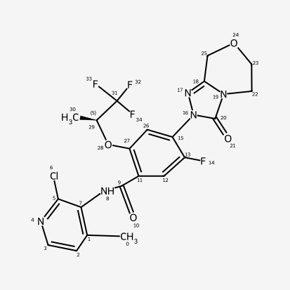 Cc1ccnc(Cl)c1NC(=O)c1cc(F)c(-n2nc3n(c2=O)CCOC3)cc1O[C@@H](C)C(F)(F)F